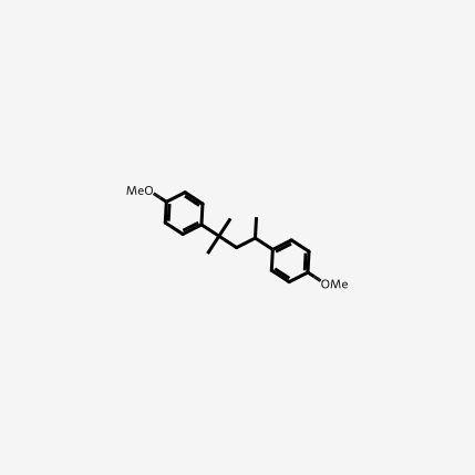 COc1ccc(C(C)CC(C)(C)c2ccc(OC)cc2)cc1